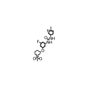 Cc1ccc(NC(=O)Nc2cc(F)cc(O[C@H]3CCCN(S(C)(=O)=O)C3)c2)cn1